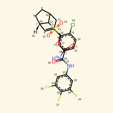 NC(=O)OCC1=C[C@@H]2CCC(C1)C2S(=O)(=O)c1cc(C(=O)Nc2cc(F)c(F)c(F)c2)ccc1Cl